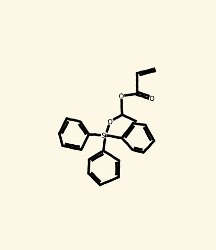 C=CC(=O)OC(C)O[Si](c1ccccc1)(c1ccccc1)c1ccccc1